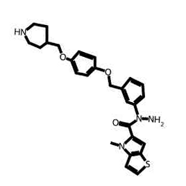 Cn1c(C(=O)N(N)c2cccc(COc3ccc(OCC4CCNCC4)cc3)c2)cc2sccc21